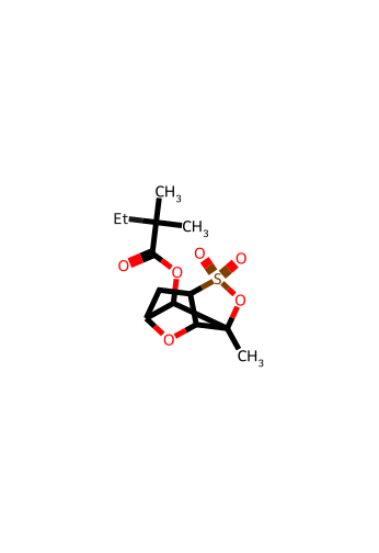 CCC(C)(C)C(=O)OC1C2CC3C(O2)C1(C)OS3(=O)=O